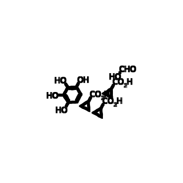 O=C(O)C1CC1.O=C(O)C1CC1.O=C(O)C1CC1.O=CO.Oc1ccc(O)c(O)c1O